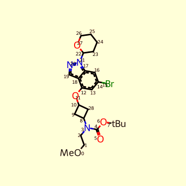 COCCN(C(=O)OC(C)(C)C)C1CC(Oc2cc(Br)cc3c2cnn3C2CCCCO2)C1